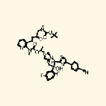 CC(OC(=O)N(C)c1ncccc1CCC(=O)CN(C)C(=O)OC(C)(C)C)[n+]1cnn(C[C@](O)(c2cc(F)ccc2F)[C@@H](C)c2nc(-c3ccc(C#N)cc3)cs2)c1